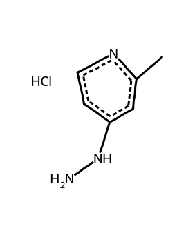 Cc1cc(NN)ccn1.Cl